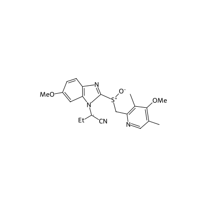 CC[C](C#N)n1c([S+]([O-])Cc2ncc(C)c(OC)c2C)nc2ccc(OC)cc21